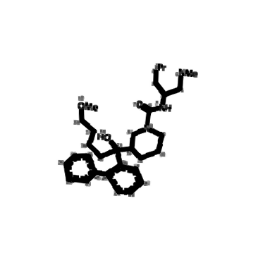 CNCC(CC(C)C)NC(=O)N1CCCC(C(O)(CCCCOC)c2ccccc2-c2ccccc2)C1